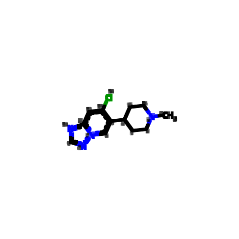 CN1CCC(c2cn3ncnc3cc2Cl)CC1